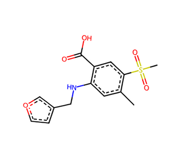 Cc1cc(NCc2ccoc2)c(C(=O)O)cc1S(C)(=O)=O